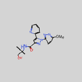 COc1ccc(-n2nc(C(=O)NC(C)(C)CO)cc2-c2ccccn2)nn1